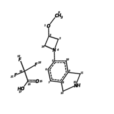 COC1CN(c2ccc3c(c2)CNC3)C1.O=C(O)C(F)(F)F